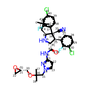 CC(C)(C)C[C@@H]1N[C@@H](C(=O)Nc2ccn(CC(C)(C)OC[C@@H]3CO3)n2)[C@H](c2cccc(Cl)c2F)[C@@]1(C#N)c1ccc(Cl)cc1F